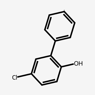 Oc1ccc(Cl)cc1-c1cc[c]cc1